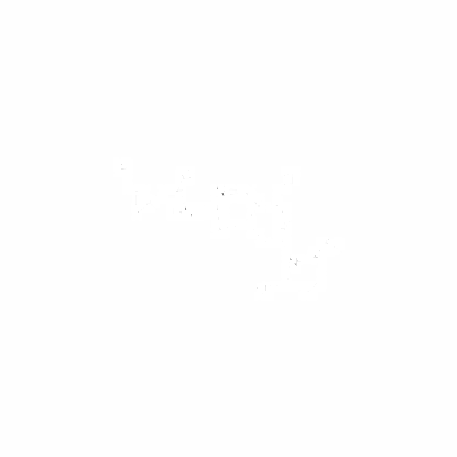 CC[C@H]1CCC(=O)N1c1cc(Cl)c2cnc(NC(=O)[C@@H]3C[C@@H]3F)cc2c1